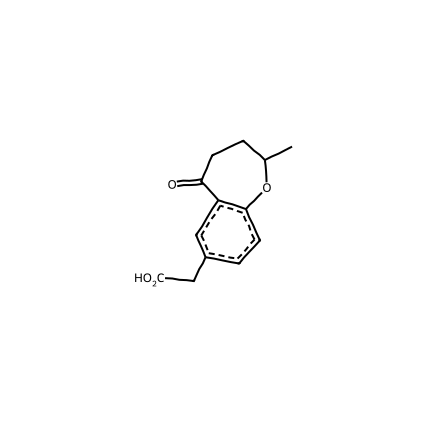 CC1CCC(=O)c2cc(CC(=O)O)ccc2O1